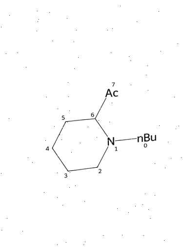 CCCCN1CCCCC1C(C)=O